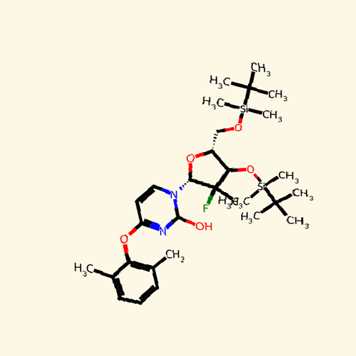 Cc1cccc(C)c1OC1=NC(O)N([C@@H]2O[C@H](CO[Si](C)(C)C(C)(C)C)C(O[Si](C)(C)C(C)(C)C)C2(C)F)C=C1